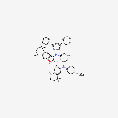 Cc1cc2c3c(c1)N(c1cc(-c4ccccc4)cc(-c4ccccc4)c1)c1c(oc4cc5c(cc14)C(C)(C)CCC5(C)C)B3c1cc3c(cc1N2c1ccc(C(C)(C)C)cc1)C(C)(C)CCC3(C)C